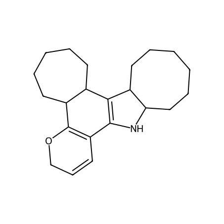 C1=CC2=C(OC1)C1CCCCCC1C1=C2NC2CCCCCCC12